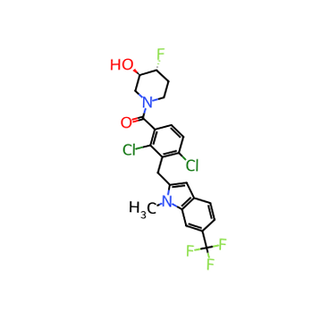 Cn1c(Cc2c(Cl)ccc(C(=O)N3CC[C@@H](F)[C@H](O)C3)c2Cl)cc2ccc(C(F)(F)F)cc21